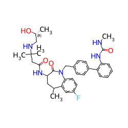 CNC(=O)Nc1ccccc1-c1ccc(CN2C(=O)C(NC(=O)CC(C)(C)NC[C@@H](C)O)CC(C)c3cc(F)ccc32)cc1